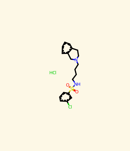 Cl.O=S(=O)(NCCCCN1CCc2ccccc2C1)c1cccc(Cl)c1